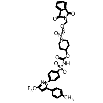 Cc1ccc(-c2cc(C(F)(F)F)nn2-c2ccc(S(=O)(=O)NC(=O)OC3CCN([N+]([O-])=NOCN4C(=O)c5ccccc5C4=O)CC3)cc2)cc1